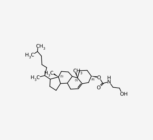 CC(C)CCCC(C)C1CCC2C3CC=C4C[C@H](OC(=O)NCCO)CC[C@@]4(C)C3CC[C@@]12C